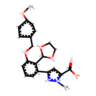 COc1ccc(COc2cccc(-c3cc(C(=O)O)n(C)n3)c2C2OCCO2)cc1